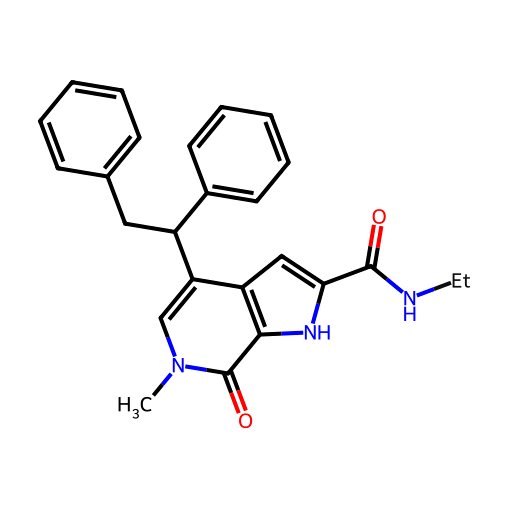 CCNC(=O)c1cc2c(C(Cc3ccccc3)c3ccccc3)cn(C)c(=O)c2[nH]1